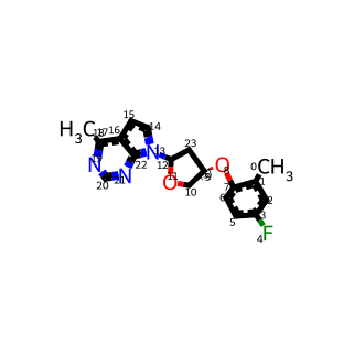 Cc1cc(F)ccc1O[C@@H]1COC(n2ccc3c(C)ncnc32)C1